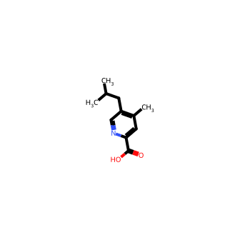 Cc1cc(C(=O)O)ncc1CC(C)C